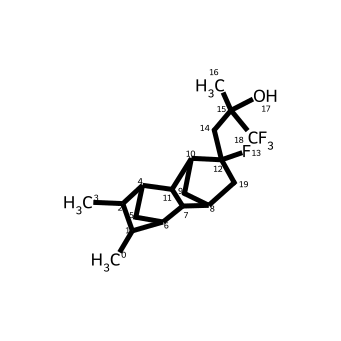 CC1C(C)C2CC1C1C3CC(C21)C(F)(CC(C)(O)C(F)(F)F)C3